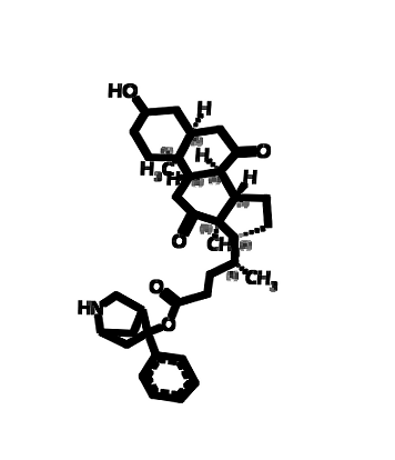 C[C@H](CCC(=O)OC1(c2ccccc2)CC2CC1CN2)[C@H]1CC[C@H]2[C@@H]3C(=O)C[C@@H]4CC(O)CC[C@]4(C)[C@H]3CC(=O)[C@]12C